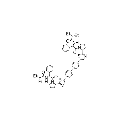 CCC(CC)C(=O)N[C@@H](C(=O)N1CCC[C@H]1c1ncc(-c2ccc(-c3ccc(-c4cnc([C@@H]5CCCN5C(=O)[C@H](NC(=O)C(CC)CC)c5ccccc5)s4)cc3)cc2)s1)c1ccccc1